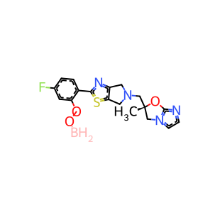 BOOc1cc(F)ccc1-c1nc2c(s1)CN(C[C@@]1(C)Cn3ccnc3O1)C2